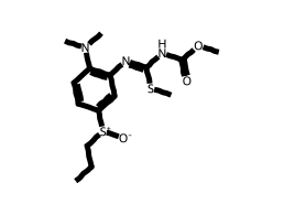 CCC[S+]([O-])c1ccc(N(C)C)c(N=C(NC(=O)OC)SC)c1